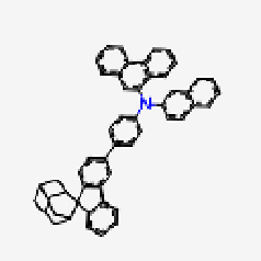 c1ccc2c(c1)-c1cc(-c3ccc(N(c4ccc5ccccc5c4)c4cc5ccccc5c5ccccc45)cc3)ccc1C21C2CC3CC(C2)CC1C3